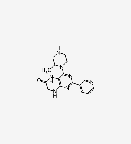 CC1CNCCN1c1nc(-c2cccnc2)nc2c1NC(=O)CN2